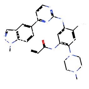 C=CC(=O)Nc1cc(Nc2nccc(-c3ccc4c(cnn4C)c3)n2)c(OC)cc1N1CCN(C)CC1